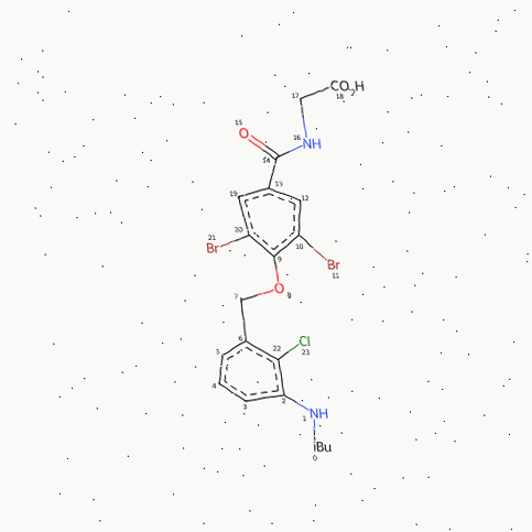 CCC(C)Nc1cccc(COc2c(Br)cc(C(=O)NCC(=O)O)cc2Br)c1Cl